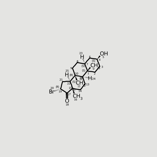 C[C@]12CC[C@H](O)C[C@@H]1CC[C@]1(C)[C@@H]2CC[C@]2(C)C(=O)[C@H](Br)C[C@@H]12